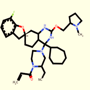 C=CC(=O)N1CCN(C2(C3CCCCCC3)NC(OCC3CCCN3C)NC3C[C@@]4(CCC32)Cc2cccc(F)c2O4)CC1CC#N